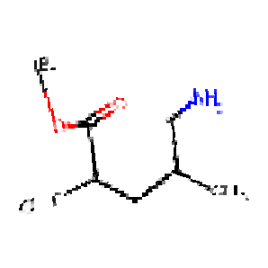 CC(CN)CC(C=O)C(=O)OC(C)(C)C